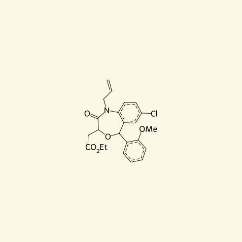 C=CCN1C(=O)C(CC(=O)OCC)OC(c2ccccc2OC)c2cc(Cl)ccc21